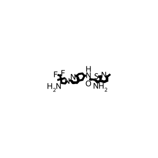 Cc1ccc2c(N)c(C(=O)NC3CCc4nc(N5CC(N)C(C)(C(F)F)C5)ccc4C3)sc2n1